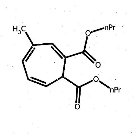 CCCOC(=O)C1=CC(C)=CC=CC1C(=O)OCCC